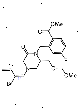 C=C/C(Br)=C\N1CC(=O)N(Cc2cc(F)ccc2C(=O)OC)C(COCOC)C1